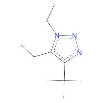 CCc1c(C(C)(C)C)nnn1CC